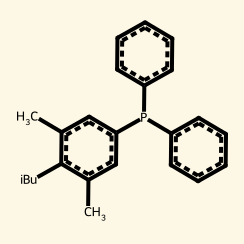 CCC(C)c1c(C)cc(P(c2ccccc2)c2ccccc2)cc1C